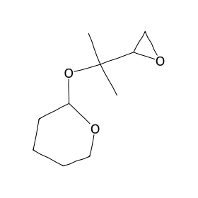 CC(C)(OC1CCCCO1)C1CO1